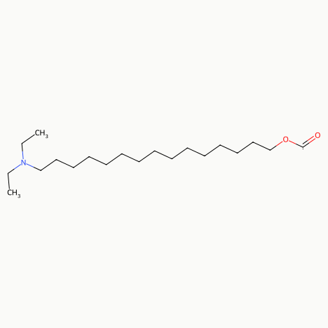 CCN(CC)CCCCCCCCCCCCCCCO[C]=O